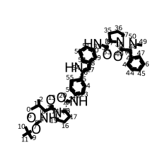 CC(C)[C@@H](NC(=O)OC(C)(C)C)C(=O)N1CCC[C@H]1C(=O)Nc1ccc(-c2cc3cc(NC(=O)[C@@H]4CCCN4C(=O)[C@@H](c4ccccc4)N(C)C)ccc3[nH]2)cc1